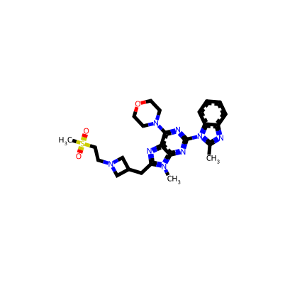 Cc1nc2ccccc2n1-c1nc(N2CCOCC2)c2nc(CC3CN(CCS(C)(=O)=O)C3)n(C)c2n1